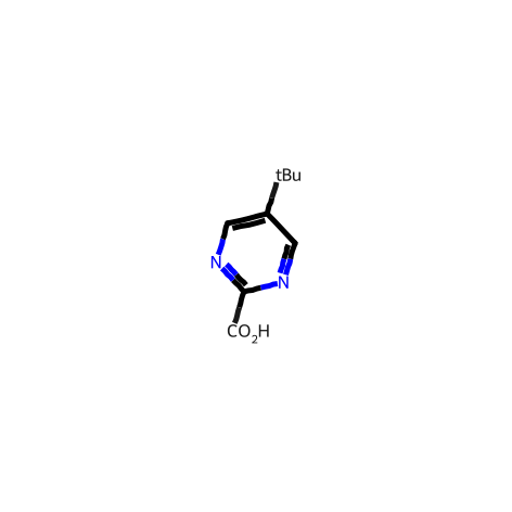 CC(C)(C)c1cnc(C(=O)O)nc1